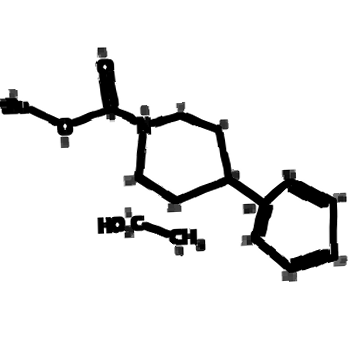 CC(=O)O.CC(C)(C)OC(=O)N1CCC(c2ccccc2)CC1